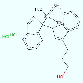 Cl.Cl.[CH3][Zr]([CH3])(=[SiH2])[C]1(C2C=C(CCCO)c3ccccc32)C=Cc2ccccc21